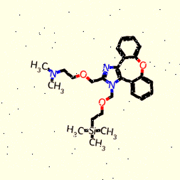 CN(C)CCOCc1nc2c(n1COCC[Si](C)(C)C)-c1ccccc1Oc1ccccc1-2